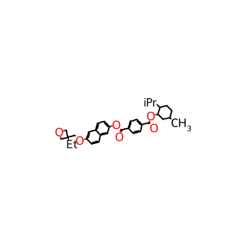 CCC1(COc2ccc3cc(OC(=O)c4ccc(C(=O)OC5CC(C)CCC5C(C)C)cc4)ccc3c2)COC1